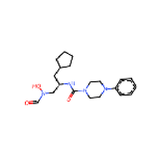 O=CN(O)C[C@@H](CC1CCCC1)NC(=O)N1CCN(c2ccccc2)CC1